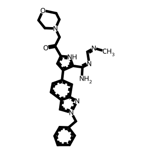 C/N=C\N=C(\N)c1[nH]c(C(=O)CN2CCOCC2)cc1-c1ccc2cn(Cc3ccccc3)nc2c1